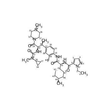 CCn1nccc1C(=O)N[C@H](C(=O)Nc1ccc([C@H](C)[C@@H](NC(=O)N(C)C2CC2)C(=O)N2CCN(C)CC2)cc1F)[C@H]1CC[C@H](C)CC1